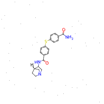 NC(=O)c1ccc(Sc2ccc(C(=O)NC3CN4CC[C@H]3C4)cc2)cc1